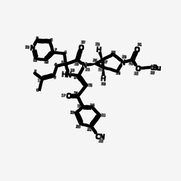 CC(C)=CCC1(Cc2ccncc2)NC(=CC(=O)c2ccc(C#N)cc2)N([C@H]2[C@@H]3CN(C(=O)OC(C)(C)C)C[C@@H]32)C1=O